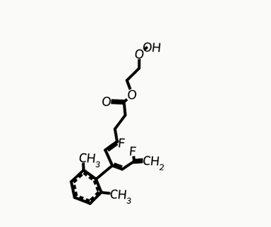 C=C(F)/C=C(\C=C(/F)CCC(=O)OCCOO)c1c(C)cccc1C